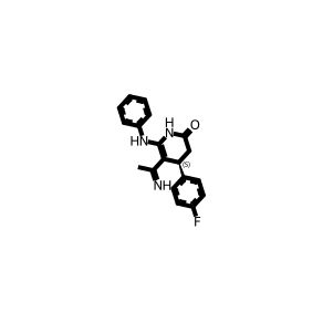 CC(=N)C1=C(Nc2ccccc2)NC(=O)C[C@H]1c1ccc(F)cc1